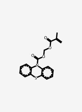 C=C(C)C(=O)OCOC(=O)N1c2ccccc2Sc2ccccc21